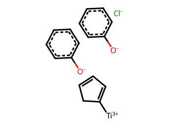 [Cl-].[O-]c1ccccc1.[O-]c1ccccc1.[Ti+3][C]1=CC=CC1